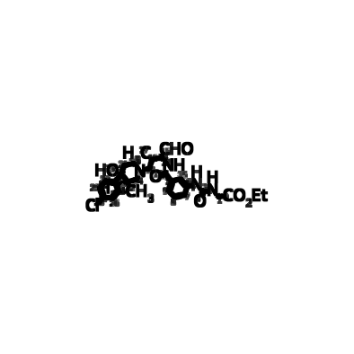 CCOC(=O)CNC(=O)Nc1cccc(C(=O)NC(C=O)[C@@H](C)CN2CC[C@](O)(c3ccc(Cl)cc3)C(C)(C)C2)c1